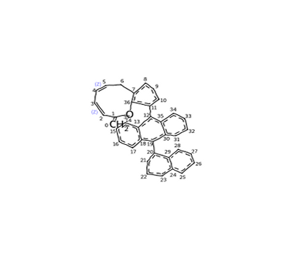 C=C1/C=C\C=C/Cc2cccc(-c3c4ccccc4c(-c4cccc5ccccc45)c4ccccc34)c2O1